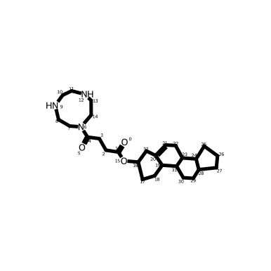 O=C(CCC(=O)N1CCNCCNCC1)OC1CCC2C(=CCC3C4CCCC4CCC23)C1